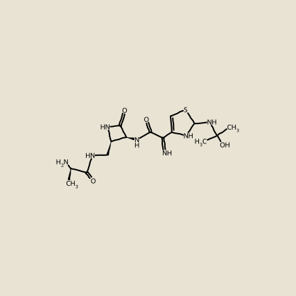 C[C@@H](N)C(=O)NC[C@H]1NC(=O)[C@H]1NC(=O)C(=N)C1=CSC(NC(C)(C)O)N1